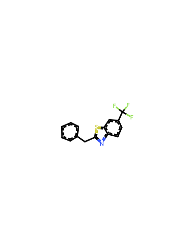 FC(F)(F)c1ccc2nc(Cc3ccccc3)sc2c1